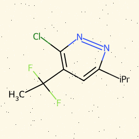 CC(C)c1cc(C(C)(F)F)c(Cl)nn1